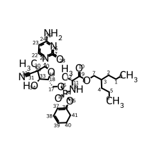 CCCC(CCC)COC(=O)[C@H](C)NP(=O)(OC[C@H]1O[C@@H](n2ccc(N)nc2=O)[C@](C)(C#N)[C@@H]1O)OC1=CC=CCC1